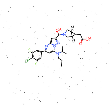 CCCN(c1cc(-c2cc(F)c(Cl)c(F)c2)nc2cc(C(O)N3C[C@@H]4[C@@H](CC(=O)O)[C@@H]4C3)nn12)C(C)C